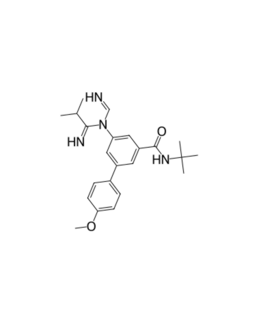 COc1ccc(-c2cc(C(=O)NC(C)(C)C)cc(N(C=N)C(=N)C(C)C)c2)cc1